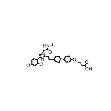 CCNC(=O)Cn1cc(-c2ccc(Cl)cc2Cl)nc1C=Cc1ccc(-c2ccc(OCCCC(=O)O)cc2)cc1